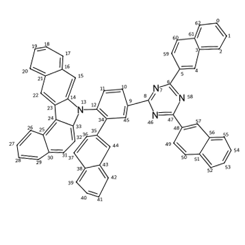 c1ccc2cc(-c3nc(-c4ccc(-n5c6cc7ccccc7cc6c6c7ccccc7ccc65)c(-c5ccc6ccccc6c5)c4)nc(-c4ccc5ccccc5c4)n3)ccc2c1